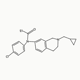 CCC(=O)N(c1ccc(Cl)cc1)c1ccc2c(c1)CN(CC1CC1)CC2